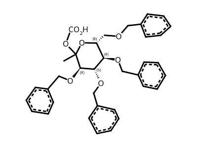 CC1(OC(=O)O)O[C@H](COCc2ccccc2)[C@@H](OCc2ccccc2)[C@H](OCc2ccccc2)[C@H]1OCc1ccccc1